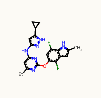 CCc1cc(Nc2cc(C3CC3)[nH]n2)nc(Oc2cc(F)c3[nH]c(C)cc3c2F)n1